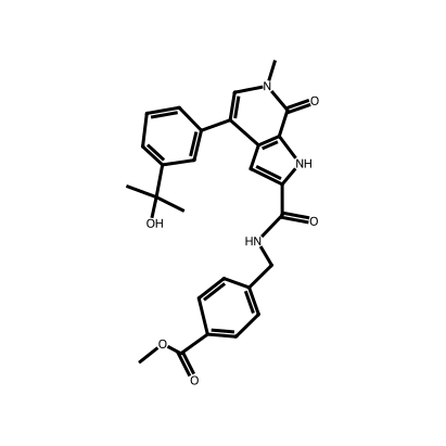 COC(=O)c1ccc(CNC(=O)c2cc3c(-c4cccc(C(C)(C)O)c4)cn(C)c(=O)c3[nH]2)cc1